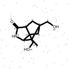 CC1C2NC(=O)C3CC1(CO)CC32CO